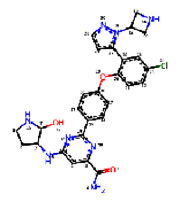 NC(=O)c1cc(N[C@H]2CCNC2O)nc(-c2ccc(Oc3ccc(Cl)cc3-c3ccnn3C3CNC3)cc2)n1